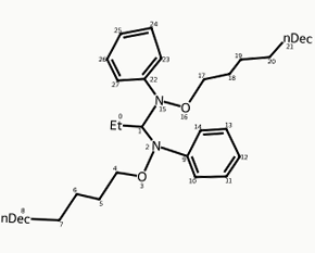 [CH2]CC(N(OCCCCCCCCCCCCCC)c1ccccc1)N(OCCCCCCCCCCCCCC)c1ccccc1